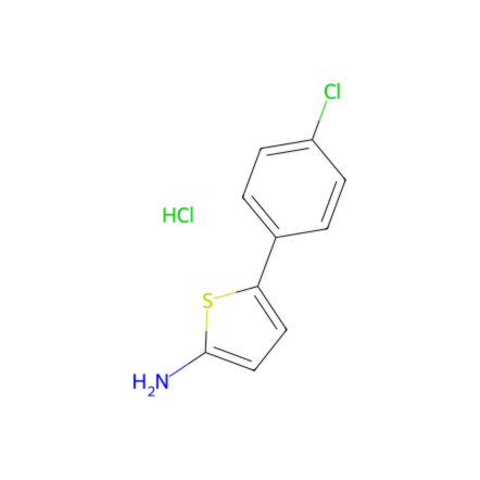 Cl.Nc1ccc(-c2ccc(Cl)cc2)s1